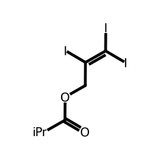 CC(C)C(=O)OCC(I)=C(I)I